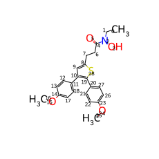 CCN(O)C(=O)CCc1cc(-c2ccc(OC)cc2)c(-c2ccc(OC)cc2)s1